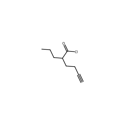 C#CCCC(CCC)C(=O)Cl